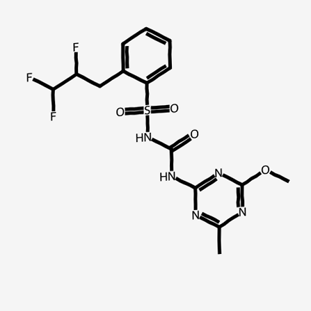 COc1nc(C)nc(NC(=O)NS(=O)(=O)c2ccccc2CC(F)C(F)F)n1